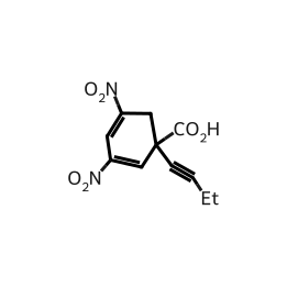 CCC#CC1(C(=O)O)C=C([N+](=O)[O-])C=C([N+](=O)[O-])C1